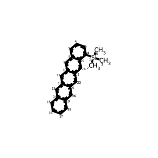 C[Si](C)(C)c1cccc2cc3cc4cc5ccccc5cc4cc3cc12